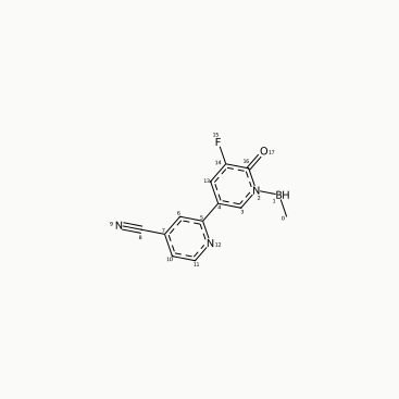 CBn1cc(-c2cc(C#N)ccn2)cc(F)c1=O